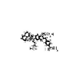 CN(C)CCN(c1ccc2c(c1)nc(Cc1ccc(C(=N)N)cc1)n2CC(=O)O)S(=O)(=O)c1cccc2cccnc12.Cl